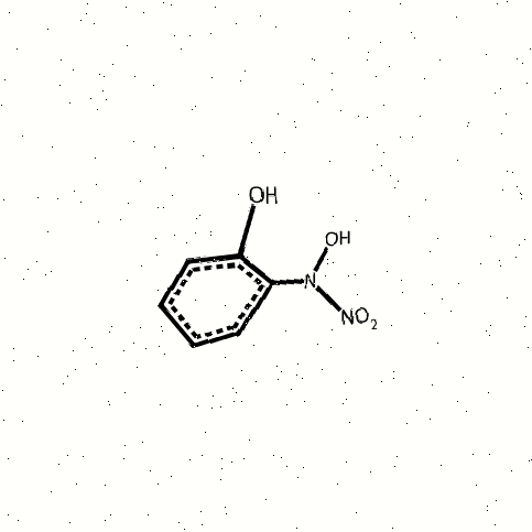 O=[N+]([O-])N(O)c1ccccc1O